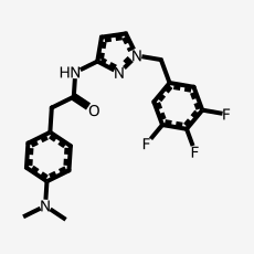 CN(C)c1ccc(CC(=O)Nc2ccn(Cc3cc(F)c(F)c(F)c3)n2)cc1